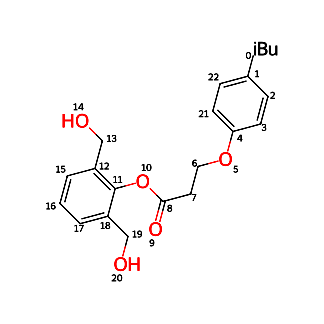 CCC(C)c1ccc(OCCC(=O)Oc2c(CO)cccc2CO)cc1